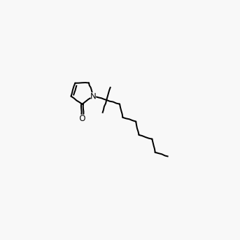 CCCCCCCC(C)(C)N1CC=CC1=O